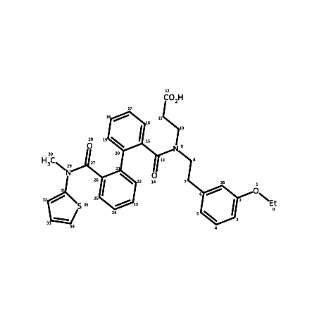 CCOc1cccc(CCN(CCC(=O)O)C(=O)c2ccccc2-c2ccccc2C(=O)N(C)c2cccs2)c1